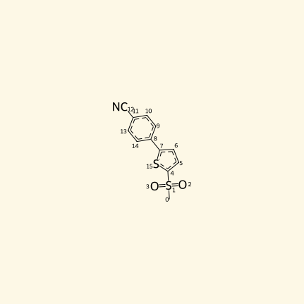 CS(=O)(=O)c1ccc(-c2ccc(C#N)cc2)s1